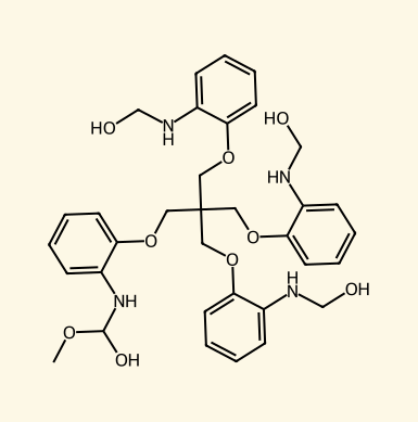 COC(O)Nc1ccccc1OCC(COc1ccccc1NCO)(COc1ccccc1NCO)COc1ccccc1NCO